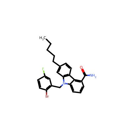 CCCCCc1c[c]c2c3c(C(N)=O)cccc3n(Cc3cc(F)ccc3Br)c2c1